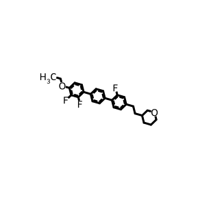 CCOc1ccc(-c2ccc(-c3ccc(CCC4CCCOC4)cc3F)cc2)c(F)c1F